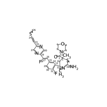 C[C@]1(C(=O)N2CCOCC2)C[C@@](C)(c2cc(/C=C(\F)c3cnc(C#CSI)cn3)ccc2F)N=C(N)S1